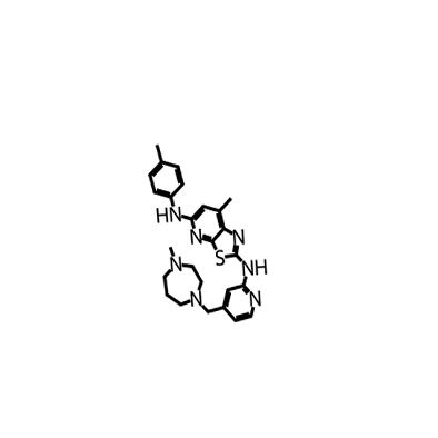 Cc1ccc(Nc2cc(C)c3nc(Nc4cc(CN5CCCN(C)CC5)ccn4)sc3n2)cc1